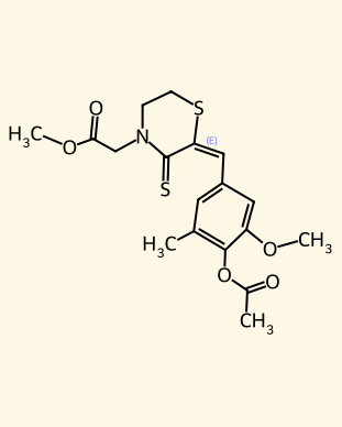 COC(=O)CN1CCS/C(=C/c2cc(C)c(OC(C)=O)c(OC)c2)C1=S